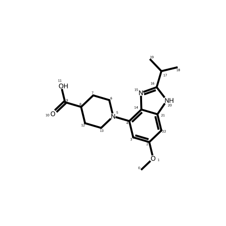 COc1cc(N2CCC(C(=O)O)CC2)c2nc(C(C)C)[nH]c2c1